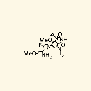 COCC[C@@H](N)[C@H]1CN(c2cc(N)c3c(=O)[nH]c(=O)n(C4CC4)c3c2OC)C[C@@H]1F